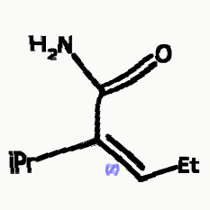 CC/C=C(\C(N)=O)C(C)C